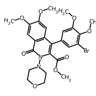 COC(=O)c1c(-c2cc(Br)c(OC)c(OC)c2)c2cc(OC)c(OC)cc2c(=O)n1N1CCOCC1